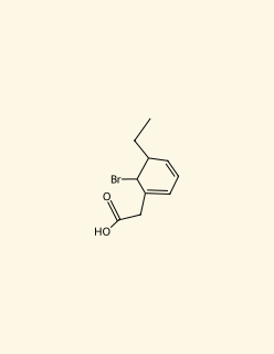 CCC1C=CC=C(CC(=O)O)C1Br